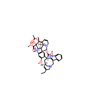 CCC1=C[C@@H]2C[N@](C1)Cc1c([nH]c3ccccc13)[C@@](C(=O)OC)(c1cc3c(cc1OC)N(C)[C@@H]1[C@]34CCN3CC=C[C@@](CC)(C(OC(C)=O)[C@]1(O)C(=O)OC)[C@H]34)C2